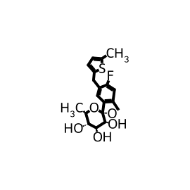 Cc1ccc(Cc2cc3c(cc2F)CO[C@]32O[C@H](C)[C@@H](O)[C@H](O)[C@H]2O)s1